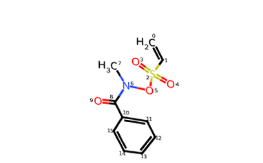 C=CS(=O)(=O)ON(C)C(=O)c1ccccc1